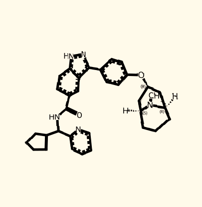 CN1[C@@H]2CCC[C@H]1C[C@@H](Oc1ccc(-c3n[nH]c4ccc(C(=O)NC(c5ccccn5)C5CCCC5)cc34)cc1)C2